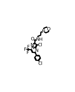 O=C(NCCCN1CCOCC1)c1nn2c(C(F)(F)F)cc(-c3ccc(Cl)cc3)nc2c1Cl